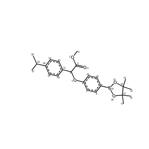 COC(=O)C(Oc1ccc(B2OC(C)(C)C(C)(C)O2)cc1)c1ccc(C(C)C)cc1